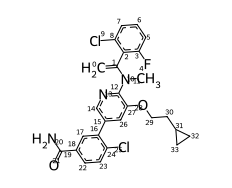 C=C(c1c(F)cccc1Cl)N(C)c1ncc(-c2cc(C(N)=O)ccc2Cl)cc1OCCC1CC1